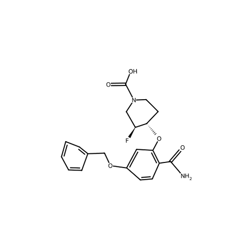 NC(=O)c1ccc(OCc2ccccc2)cc1O[C@H]1CCN(C(=O)O)C[C@@H]1F